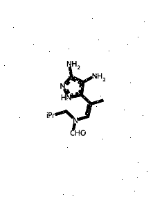 C/C(=C/N(C=O)CC(C)C)c1[nH]nc(N)c1N